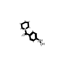 O=C(c1ccc(BO)cc1)N1CCCCC1